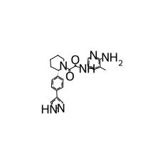 Cc1cc(NC(=O)C(=O)N2CCCC[C@H]2c2ccc(-c3cn[nH]c3)cc2)cnc1N